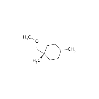 COC[C@]1(C)CC[C@H](C)CC1